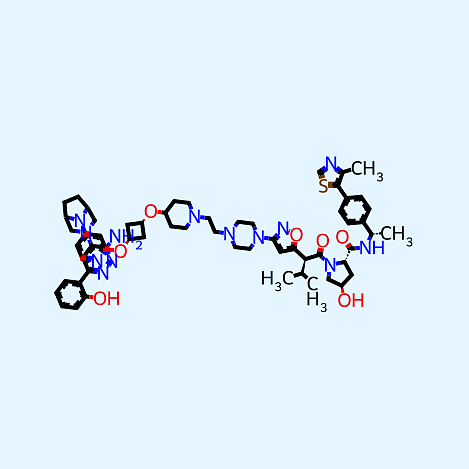 Cc1ncsc1-c1ccc([C@H](C)NC(=O)[C@@H]2C[C@@H](O)CN2C(=O)[C@H](c2cc(N3CCN(CCN4CCC(O[C@H]5C[C@H](Oc6cc(N7C8CCC7CN(c7cc(-c9ccccc9O)nnc7N)C8)ccn6)C5)CC4)CC3)no2)C(C)C)cc1